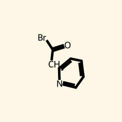 CC(=O)Br.c1ccncc1